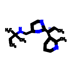 C=CC(C)(C)NCc1ccnc(/C(=C/C)c2cccnc2C)n1